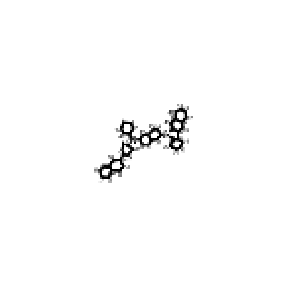 c1ccc(N(c2ccc(-c3ccc4ccccc4c3)cc2)c2ccc3cc(-n4c5ccccc5c5cc6ccccc6cc54)ccc3c2)cc1